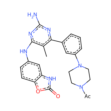 CC(=O)N1CCN(c2cccc(-c3nc(N)nc(Nc4ccc5oc(=O)[nH]c5c4)c3C)c2)CC1